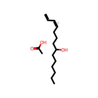 C=C/C=C\CCCC(O)CCCCCC.CC(=O)O